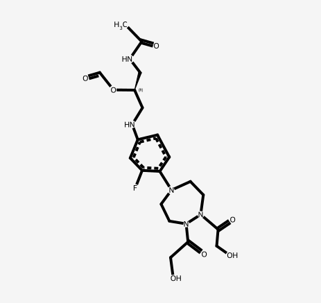 CC(=O)NC[C@@H](CNc1ccc(N2CCN(C(=O)CO)N(C(=O)CO)CC2)c(F)c1)OC=O